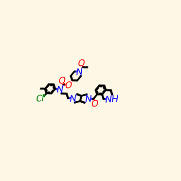 CC(=O)N1CCC(OC(=O)N(CCCN2CC3CN(C(=O)c4cccc5c4CNCC5)CC3C2)c2ccc(C)c(Cl)c2)CC1